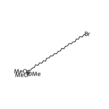 CO[Si](CCCCCCCCCCCCCCCCCCCCCCCCCCCCCCCBr)(OC)OC